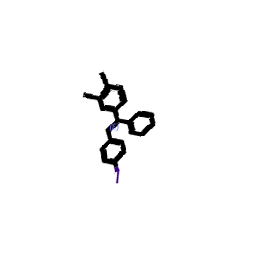 Cc1ccc(/C(=C/c2ccc(I)cc2)c2ccccc2)cc1C